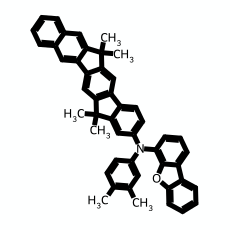 Cc1ccc(N(c2ccc3c(c2)C(C)(C)c2cc4c(cc2-3)C(C)(C)c2cc3ccccc3cc2-4)c2cccc3c2oc2ccccc23)cc1C